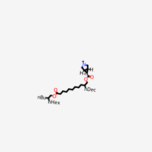 CCCCCCCCCCC(CCCCCCCCC(=O)OCC(CCCC)CCCCCC)COC(=O)[C@H]1[C@@H]2CN(C)C[C@@H]21